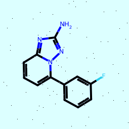 Nc1nc2cccc(-c3cccc(F)c3)n2n1